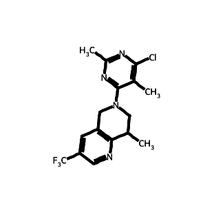 Cc1nc(Cl)c(C)c(N2Cc3cc(C(F)(F)F)cnc3C(C)C2)n1